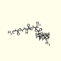 C=CC(=O)OCCNC(=O)OCC(C)OC(=O)C(F)(OC(F)(F)C(C)(F)C(F)(F)F)C(F)(F)F